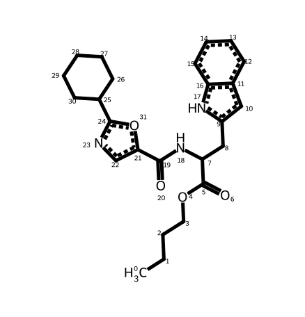 CCCCOC(=O)C(Cc1cc2ccccc2[nH]1)NC(=O)c1cnc(C2CCCCC2)o1